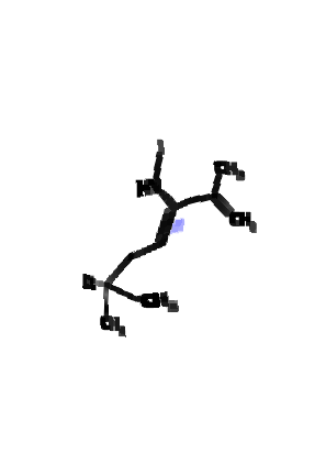 C=C(C)/C(=C/CC(C)(C)CC)NI